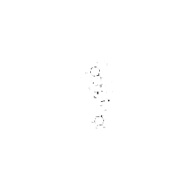 Cc1cc(C)c(NC(=O)C2([PH]3(CC(=O)OCc4ccccc4)CCCC3)CCC2)c(C)c1